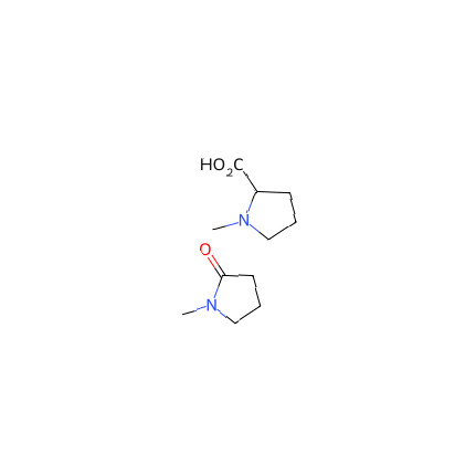 CN1CCCC1=O.CN1CCCC1C(=O)O